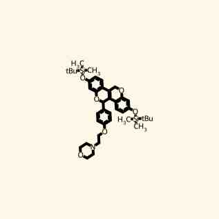 CC(C)(C)[Si](C)(C)Oc1ccc2c(c1)OC(c1ccc(OCCN3CCOCC3)cc1)C1=C2COc2cc(O[Si](C)(C)C(C)(C)C)ccc21